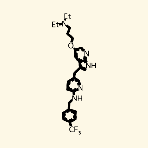 CCN(CC)CCCOc1cnc2[nH]cc(Cc3ccc(NCc4ccc(C(F)(F)F)cc4)nc3)c2c1